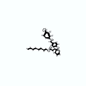 CCCCCCCCOC(=O)CCC1(Oc2ccc(COc3ccc(Cl)cc3)cc2)CC=CS1